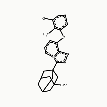 COC12CC3CC(C1)CC(c1nnc4c(Oc5cccc(Cl)c5C)cccn14)(C3)C2